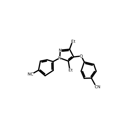 CCc1nn(-c2ccc(C#N)cc2)c(CC)c1Oc1ccc(C#N)cc1